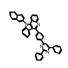 c1ccc(-c2cc(-c3ccc(-c4nc5ccccc5c5c4c4ccccc4n5-c4ccc5ccccc5c4)cc3)nc(-c3ccccc3)n2)cc1